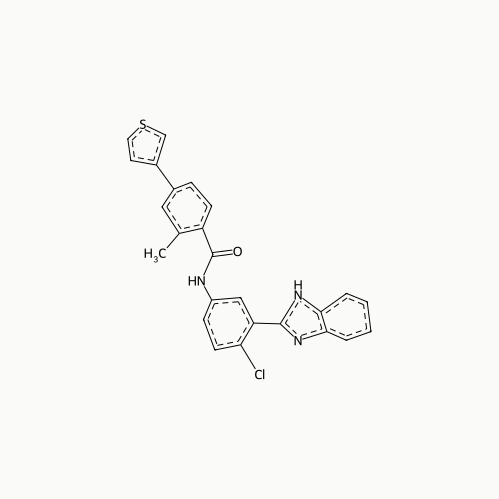 Cc1cc(-c2ccsc2)ccc1C(=O)Nc1ccc(Cl)c(-c2nc3ccccc3[nH]2)c1